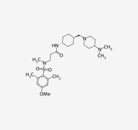 COc1cc(C)c(S(=O)(=O)N(C)CCC(=O)N[C@H]2CC[C@H](CN3CCC(N(C)C)CC3)CC2)c(C)c1